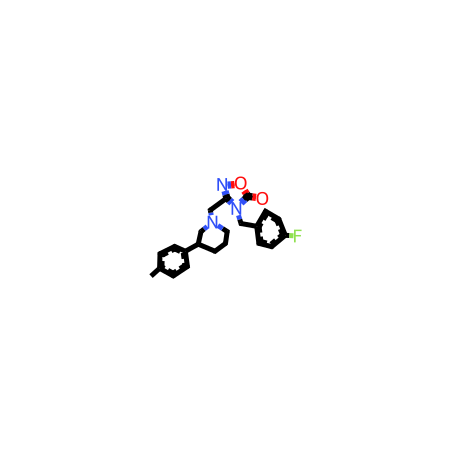 Cc1ccc(C2CCCN(Cc3noc(=O)n3Cc3ccc(F)cc3)C2)cc1